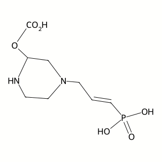 O=C(O)OC1CN(C/C=C/P(=O)(O)O)CCN1